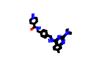 Cc1ccc2c(NCc3ccc(CNC(=O)C4CCNCC4)cc3)nc(N(C)C)nc2c1